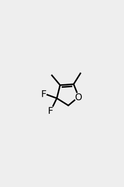 CC1=C(C)C(F)(F)CO1